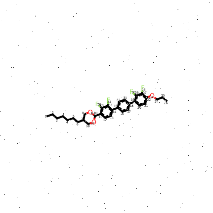 CCCCCCCC1COC(c2ccc(-c3ccc(-c4ccc(OCCC)c(F)c4F)cc3)c(F)c2F)OC1